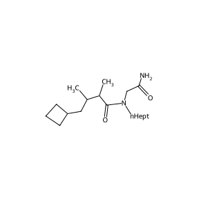 CCCCCCCN(CC(N)=O)C(=O)C(C)C(C)CC1CCC1